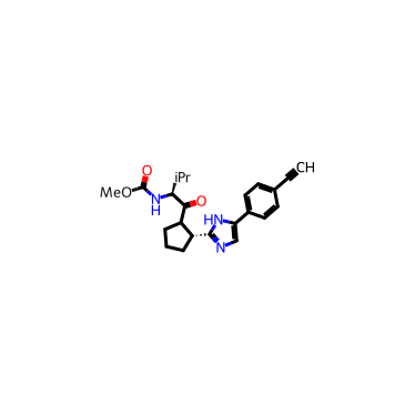 C#Cc1ccc(-c2cnc([C@@H]3CCCC3C(=O)[C@@H](NC(=O)OC)C(C)C)[nH]2)cc1